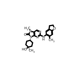 Cc1cc2c(cc1Nc1ncc3c(n1)n([C@H]1CC[C@](C)(O)CC1)c(=O)n3C)CCO2